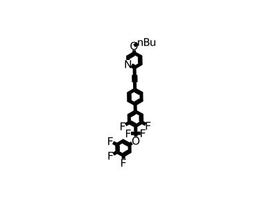 CCCCOc1ccc(C#Cc2ccc(-c3cc(F)c(C(F)(F)Oc4cc(F)c(F)c(F)c4)c(F)c3)cc2)nc1